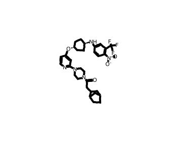 O=C(CC1CC2CCC1C2)N1CCN(c2cc(O[C@H]3CC[C@H](Nc4ccc([N+](=O)[O-])c(C(F)(F)F)c4)CC3)ccn2)CC1